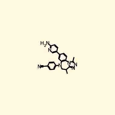 Cc1nnc2n1-c1ccc(-c3ccc(N)nc3)cc1N(c1ccc(C#N)cc1)CC2C